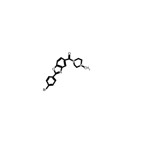 CN1CCN(C(=O)c2ccc3oc(-c4ccc(Br)cc4)nc3c2)CC1